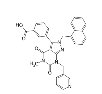 Cn1c(=O)c2c(-c3cccc(C(=O)O)c3)n(Cc3cccc4ccccc34)nc2n(Cc2cccnc2)c1=O